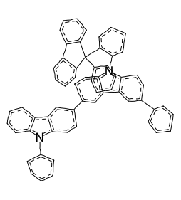 c1ccc(-c2ccc3c(c2)c2cc(-c4ccc5c(c4)c4ccccc4n5-c4ccccc4)ccc2n3-c2ccccc2C2(c3ccccc3)c3ccccc3-c3ccccc32)cc1